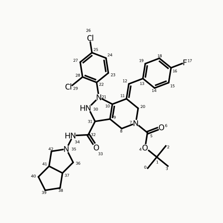 CC(C)(C)OC(=O)N1CC2=C(/C(=C/c3ccc(F)cc3)C1)N(c1ccc(Cl)cc1Cl)NC2C(=O)NN1CC2CCCC2C1